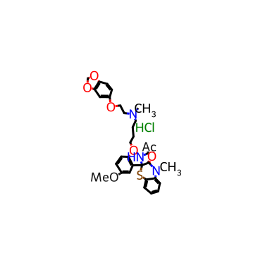 COc1ccc(OCCCCN(C)CCOc2ccc3c(c2)OCO3)c(C2(NCC(C)=O)Sc3ccccc3N(C)C2=O)c1.Cl